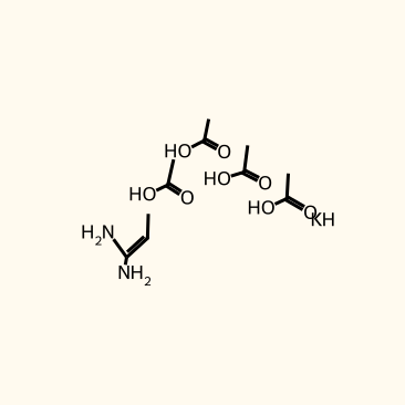 CC(=O)O.CC(=O)O.CC(=O)O.CC(=O)O.CC=C(N)N.[KH]